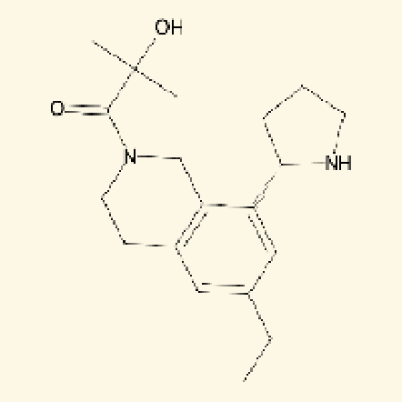 CCc1cc2c(c([C@@H]3CCCN3)c1)CN(C(=O)C(C)(C)O)CC2